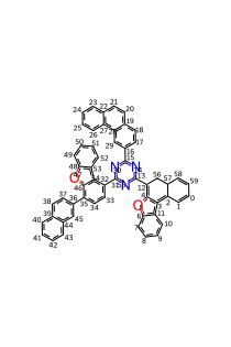 C1=CC2=c3c(oc4ccccc34)=C(c3nc(-c4ccc5ccc6ccccc6c5c4)nc(-c4ccc(-c5ccc6ccccc6c5)c5oc6ccccc6c45)n3)CC2C=C1